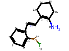 NC1=C(/C=C/c2ccccc2SF)CCCC1